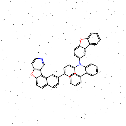 c1ccc(-c2ccccc2N(c2ccc(-c3ccc4ccc5oc6ccncc6c5c4c3)cc2)c2ccc3oc4ccccc4c3c2)cc1